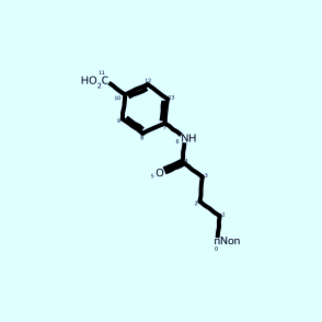 CCCCCCCCCCCCC(=O)Nc1ccc(C(=O)O)cc1